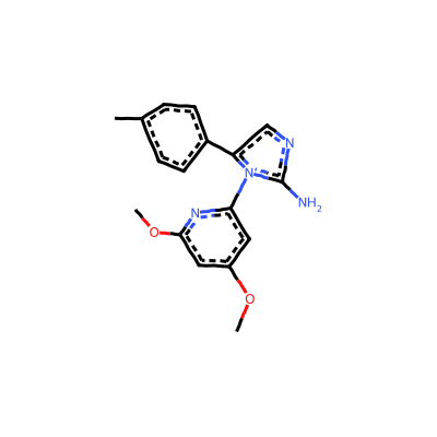 COc1cc(OC)nc(-n2c(-c3ccc(C)cc3)cnc2N)c1